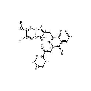 CCOc1cc2nc(Cc3nn(CC(=O)N4CCOCC4)c(=O)c4ccccc34)[nH]c2cc1F